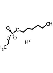 CCCCCCOS(=O)(=O)OCC.[H+]